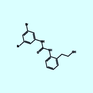 O=C(Nc1cc(Br)cc(Br)c1)Nc1ccccc1CCO